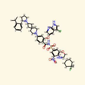 CC(C)c1ccccc1[C@H]1CCCN1C1CC2(CCN(c3ccc(C(=O)NS(=O)(=O)c4cc5c(c([N+](=O)[O-])c4)N[C@@H](C4CCC(C)(F)CC4)CO5)c(Oc4cnc5[nH]cc(F)c5c4)c3)CC2)C1